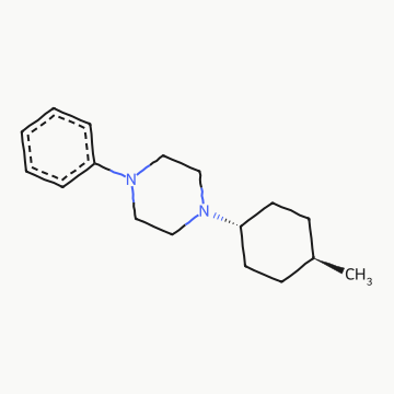 C[C@H]1CC[C@H](N2CCN(c3ccccc3)CC2)CC1